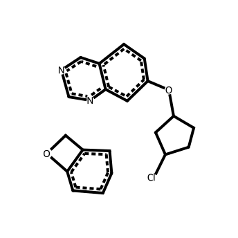 ClC1CCC(Oc2ccc3cncnc3c2)C1.c1ccc2c(c1)CO2